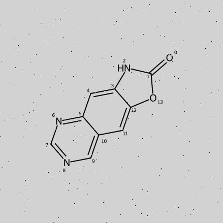 O=c1[nH]c2cc3ncncc3cc2o1